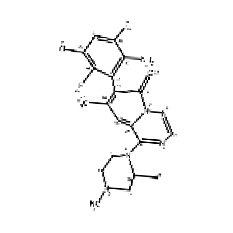 C[C@H]1CN(C#N)CCN1c1ncnn2c(=O)c(-c3c(N)c(Cl)cc(Cl)c3F)c(C(F)(F)F)cc12